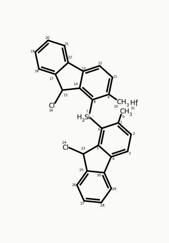 Cc1ccc2c(c1[SiH2]c1c(C)ccc3c1C(Cl)c1ccccc1-3)C(Cl)c1ccccc1-2.[Hf]